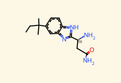 CCC(C)(C)c1ccc2[nH]c([C@@H](N)CC(N)=O)nc2c1